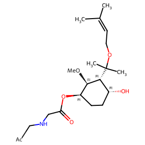 CO[C@H]1[C@H](C(C)(C)OCC=C(C)C)[C@H](O)CC[C@H]1OC(=O)CNCC(C)=O